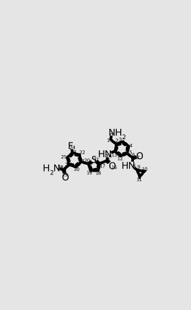 NCc1ccc(C(=O)NC2CC2)cc1NC(=O)c1ccc(-c2cc(F)cc(C(N)=O)c2)s1